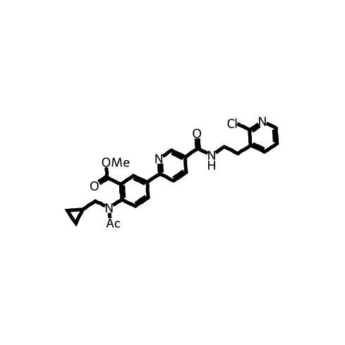 COC(=O)c1cc(-c2ccc(C(=O)NCCc3cccnc3Cl)cn2)ccc1N(CC1CC1)C(C)=O